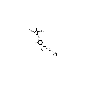 CCN(CCOCCn1ccnc1)c1ccc(/N=N/c2sc(C#N)c(C)c2C#N)c(C)c1